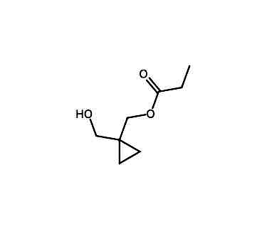 CCC(=O)OCC1(CO)CC1